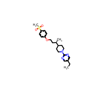 CCc1cnc(N2CCC([C@H](C)CCOc3ccc(S(C)(=O)=O)cc3)CC2)nc1